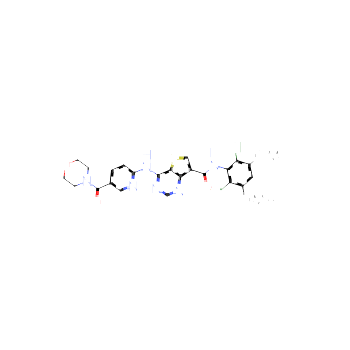 COc1cc(OC)c(Cl)c(NC(=O)c2csc3c(Nc4ccc(C(=O)N5CCOCC5)cn4)ncnc23)c1Cl